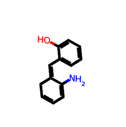 NC1=CC=CCC1=Cc1ccccc1O